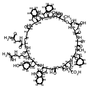 CCCC[C@H]1C(=O)N(C)CC(=O)N[C@@H](CC(O)=P)C(=O)N[C@@H](C(C)C)C(=O)N(C)[C@@H](Cc2ccccc2)C(=O)N[C@@H](CCC(=O)O)C(=O)N(C)CC(=O)N[C@@H](Cc2c[nH]c3ccccc23)C(=O)N[C@@H](Cc2ccc(O)cc2)C(=O)N[C@@H](CCCNC(=N)N)C(=O)N[C@H](C(=O)NCC(N)=O)CSCC(=O)N[C@@H](Cc2ccccc2)C(=O)N(C)[C@@H](Cc2ccccc2)C(=O)N1C